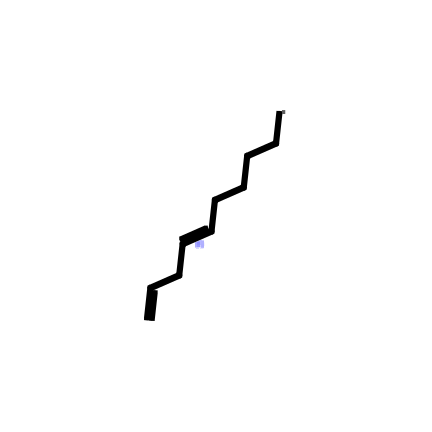 [CH2]CCCC/C=C/CC=C